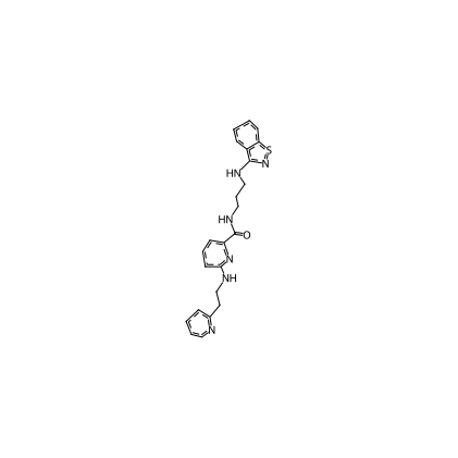 O=C(NCCCNc1nsc2ccccc12)c1cccc(NCCc2ccccn2)n1